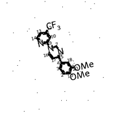 COc1ccc(C2=NCN(c3cc(C(F)(F)F)ccn3)C=C2)cc1OC